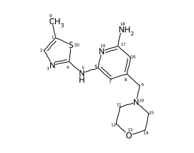 Cc1cnc(Nc2cc(CN3CCOCC3)cc(N)n2)s1